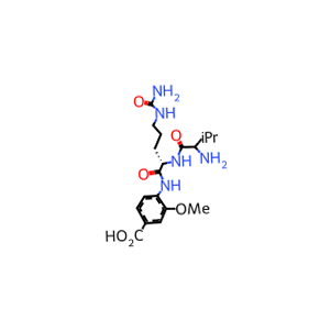 COc1cc(C(=O)O)ccc1NC(=O)[C@H](CCCNC(N)=O)NC(=O)C(N)C(C)C